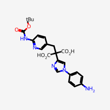 CC(C)(C)OC(=O)Nc1ccc(CC(C(=O)O)(C(=O)O)c2cn(-c3ccc(N)cc3)cn2)cn1